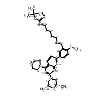 COc1ccc(-c2ccc3c(N4CCOCC4)nc(N4C[C@@H](C)O[C@@H](C)C4)nc3n2)cc1CNCCCCCNC(=O)OC(C)(C)C